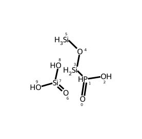 O=[PH](O)[SiH2]O[SiH3].O=[Si](O)O